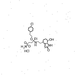 CCC(CCS(N)(=O)=O)(NCCc1ccc(O)c2[nH]c(=O)sc12)OCCc1ccc(Cl)cc1.Cl